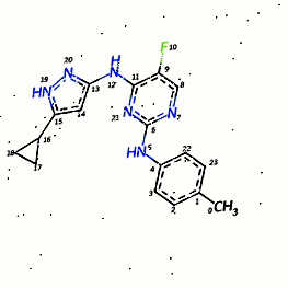 Cc1ccc(Nc2ncc(F)c(Nc3cc(C4CC4)[nH]n3)n2)cc1